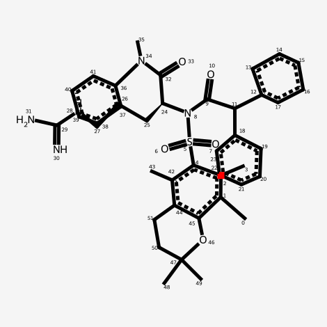 Cc1c(C)c(S(=O)(=O)N(C(=O)C(c2ccccc2)c2ccccc2)[C@@H](CCCNC(=N)N)C(=O)N(C)c2ccccc2)c(C)c2c1OC(C)(C)CC2